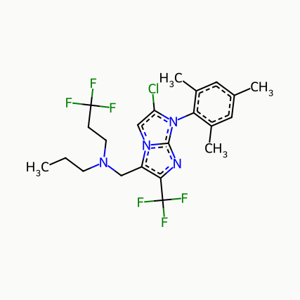 CCCN(CCC(F)(F)F)Cc1c(C(F)(F)F)nc2n(-c3c(C)cc(C)cc3C)c(Cl)cn12